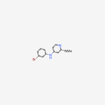 CNc1cc(Nc2cccc(Br)c2)ccn1